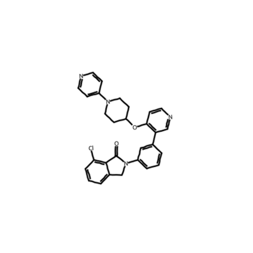 O=C1c2c(Cl)cccc2CN1c1cccc(-c2cnccc2OC2CCN(c3ccncc3)CC2)c1